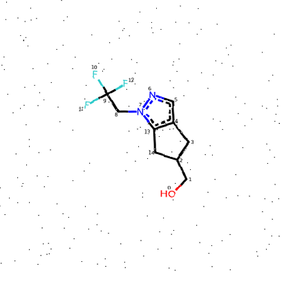 OCC1Cc2cnn(CC(F)(F)F)c2C1